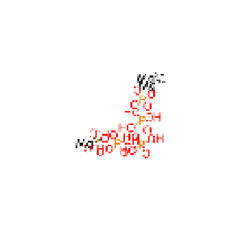 O=P(O)(O)O.O=P(O)(O)O.O=P(O)(O)O.O=P([O-])([O-])[O-].O=P([O-])([O-])[O-].[Mg+2].[Mg+2].[Mg+2]